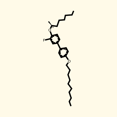 CCCCCCCCCCOc1ccc(-c2ccc(O[C@@H](C)CCCCCC)c(F)c2)cc1